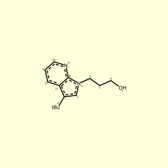 CC(C)(C)c1cn(CCCO)c2ncccc12